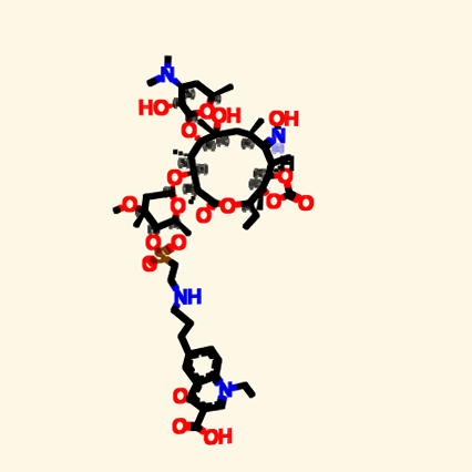 CC[C@H]1OC(=O)[C@H](C)[C@@H](O[C@H]2C[C@@](C)(OC)[C@@H](OS(=O)(=O)CCNCCCc3ccc4c(c3)c(=O)c(C(=O)O)cn4CC)[C@H](C)O2)[C@H](C)[C@@H](O[C@@H]2O[C@H](C)C[C@H](N(C)C)[C@H]2O)[C@](C)(O)C[C@@H](C)/C(=N\O)C(C)[C@H]2OC(=O)O[C@@]21C